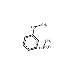 CNc1ccccc1.CO.O